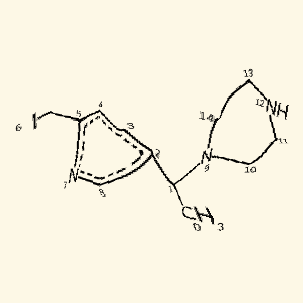 CC(c1ccc(I)nc1)N1CCNCC1